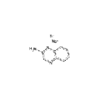 Nc1cnc2ccccc2n1.[Br-].[Na+]